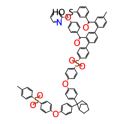 Cc1ccc(S(=O)(=O)c2ccc(Oc3ccc(C4(c5ccc(Oc6ccc(S(=O)(=O)c7ccc(-c8ccc(-c9ccc(C)cc9C(=O)c9cccc(S(=O)(=O)O)c9)cc8C(=O)c8ccc(Oc9ccccn9)cc8)cc7)cc6)cc5)CC5CCC4C5)cc3)cc2)cc1